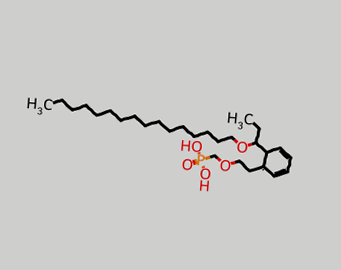 CCCCCCCCCCCCCCCCOC(CC)C1C=CC=C[C]1CCOCP(=O)(O)O